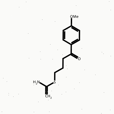 C=C(N)SCCCC(=O)c1ccc(OC)cc1